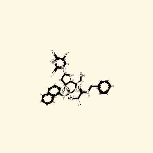 C[C@H](N[P@@](=O)(Oc1cccc2ccccc12)O[C@H](CO)[C@H]1O[C@@H](n2cc(F)c(=O)[nH]c2=O)C[C@@H]1O)C(=O)OCc1ccccc1